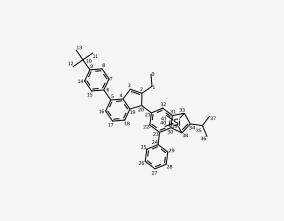 CCC1=Cc2c(-c3ccc(C(C)(C)C)cc3)cccc2C1c1[c]c(-c2ccccc2)c2c(c1)C1C(C(C)C)=C2[Si]1(C)C